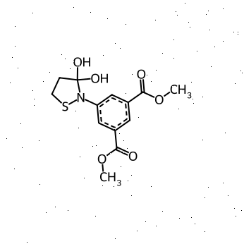 COC(=O)c1cc(C(=O)OC)cc(N2SCCC2(O)O)c1